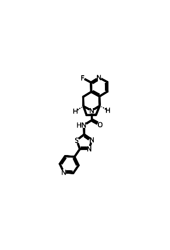 O=C(Nc1nnc(-c2ccncc2)s1)N1[C@H]2CC[C@@H]1c1ccnc(F)c1C2